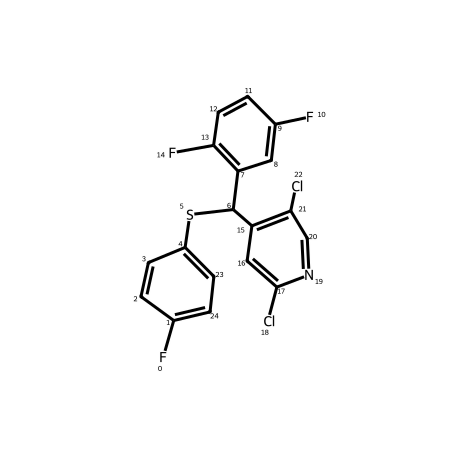 Fc1ccc(SC(c2cc(F)ccc2F)c2cc(Cl)ncc2Cl)cc1